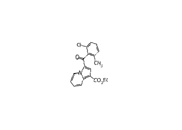 CCOC(=O)c1cc(C(=O)c2c(C)cccc2Cl)n2ccccc12